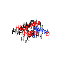 CC[C@H]1OC(=O)[C@H](C)[C@@H](O[C@H]2C[C@@](C)(OC)[C@@H](O)[C@H](C)O2)[C@H](C)[C@@H](O[C@@H]2O[C@H](C)C[C@H](N(C)C)[C@H]2O)[C@](C)(O)C[C@@H](C)CN(CCCNC(=S)NCCCN2CCOCC2)[C@H](C)[C@@H](O)[C@]1(C)O